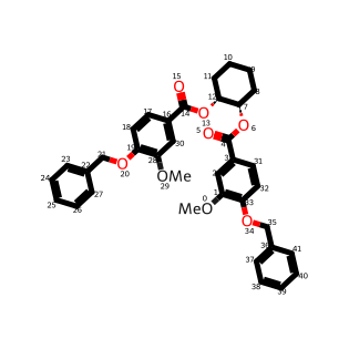 COc1cc(C(=O)O[C@H]2CCCC[C@H]2OC(=O)c2ccc(OCc3ccccc3)c(OC)c2)ccc1OCc1ccccc1